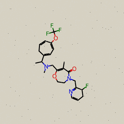 CC1=C(CN(C)C(C)C2=CC=C(OC(F)(F)F)C=CC2)OCCN(CC2=NC=CCC2F)C1=O